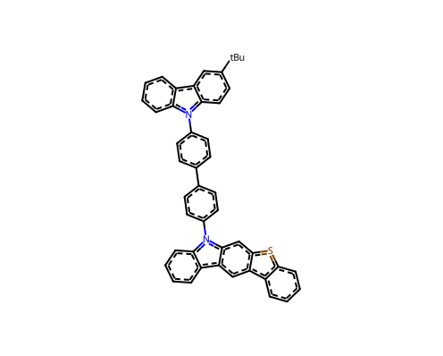 CC(C)(C)c1ccc2c(c1)c1ccccc1n2-c1ccc(-c2ccc(-n3c4ccccc4c4cc5c(cc43)sc3ccccc35)cc2)cc1